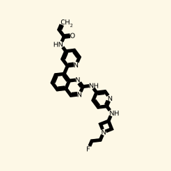 C=CC(=O)Nc1ccnc(-c2cccc3cnc(Nc4ccc(NC5CN(CCF)C5)nc4)nc23)c1